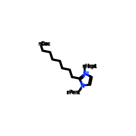 CCCCCCCCCCCCCCCCCc1n(CCCCC)cc[n+]1CCCCCCC